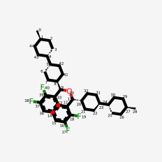 C[C@H]1CC[C@H]([C@H]2CC[C@H](C(OC(c3cccc(F)c3F)[C@H]3CC[C@H]([C@H]4CC[C@H](C)CC4)CC3)c3cccc(F)c3F)CC2)CC1